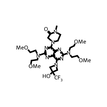 COCCN(CCOC)c1nc(N2CC(O)(C(F)(F)F)C2)c2nc(N(CCOC)CCOC)nc(N3CCN(C)C(=O)C3)c2n1